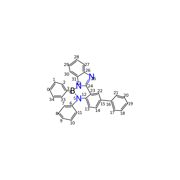 c1ccc(B2N(c3ccccc3)c3ccc(-c4ccccc4)cc3-c3nc4ccccc4n32)cc1